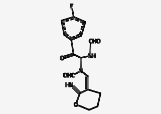 N=C1OCCC/C1=C/N(C=O)C(NC=O)C(=O)c1ccc(F)cc1